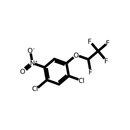 O=[N+]([O-])c1cc(OC(F)C(F)(F)F)c(Cl)cc1Cl